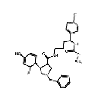 COC(=O)NC(CCCNC(=O)C1CN(Cc2ccccc2)C[C@H]1C1C=CC(O)=CC1F)c1ccc(Cl)cc1